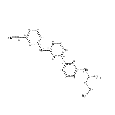 COC[C@H](C)Nc1nccc(-c2ncnc(Nc3cccc(C#N)c3)n2)n1